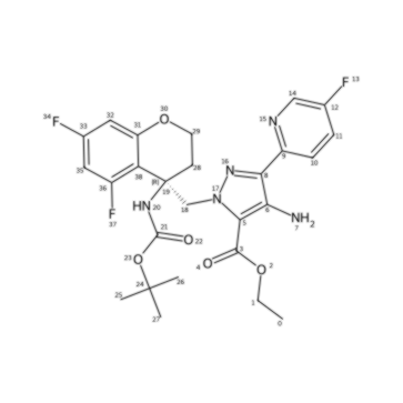 CCOC(=O)c1c(N)c(-c2ccc(F)cn2)nn1C[C@@]1(NC(=O)OC(C)(C)C)CCOc2cc(F)cc(F)c21